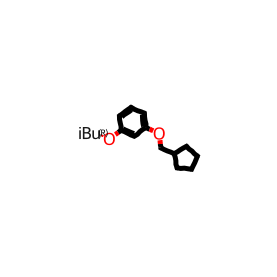 CC[C@@H](C)Oc1cccc(OCC2CCCC2)c1